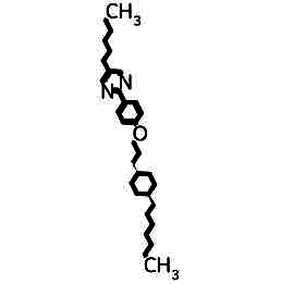 CCCCCCC[C@H]1CC[C@H](CCCOc2ccc(-c3ncc(CCCCCC)cn3)cc2)CC1